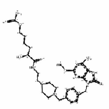 CCCCOc1nc(N)c2[nH]c(=O)n(Cc3ccc(CN4CCC(CCNC(=O)[C@@H](N)CCCCOC(N)=O)CC4)cc3)c2n1